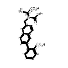 CCCC(=O)N(Cc1ccc2cc(-c3ccccc3C(=O)O)ccc2c1)[C@H](C(=O)O)C(C)C